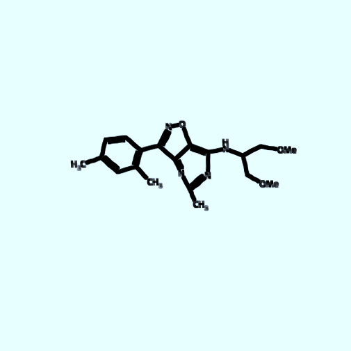 COCC(COC)Nc1nc(C)nc2c(-c3ccc(C)cc3C)noc12